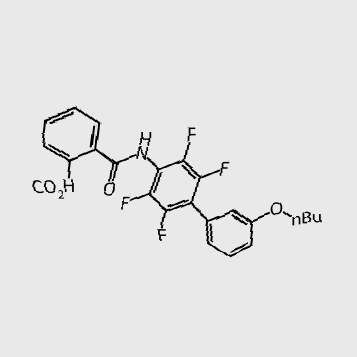 CCCCOc1cccc(-c2c(F)c(F)c(NC(=O)c3ccccc3C(=O)O)c(F)c2F)c1